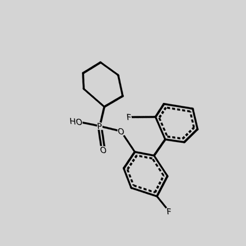 O=P(O)(Oc1ccc(F)cc1-c1ccccc1F)C1CCCCC1